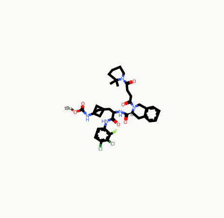 CC(C)(C)OC(=O)NC12CC(CC(NC(=O)[C@@H]3Cc4ccccc4CN3C(=O)CCC(=O)N3CCCCC3(C)C)C(=O)Nc3ccc(Cl)c(Cl)c3F)(C1)C2